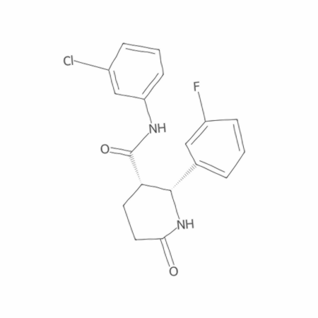 O=C1CC[C@H](C(=O)Nc2cccc(Cl)c2)[C@H](c2cccc(F)c2)N1